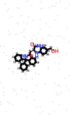 NC(=O)[C@H](CC(=O)NC(c1ccccc1)(c1ccccc1)c1ccccc1)Nc1ccc(CO)cc1